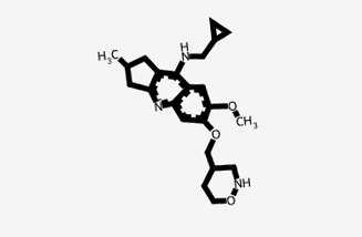 COc1cc2c(NCC3CC3)c3c(nc2cc1OCC1CCONC1)CC(C)C3